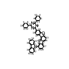 c1ccc(-c2nc(-c3ccccc3)nc(-c3ccc4c(c3)oc3ccc5c6cccc(-n7c8ccccc8c8ccccc87)c6sc5c34)n2)cc1